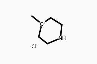 C[O+]1CCNCC1.[Cl-]